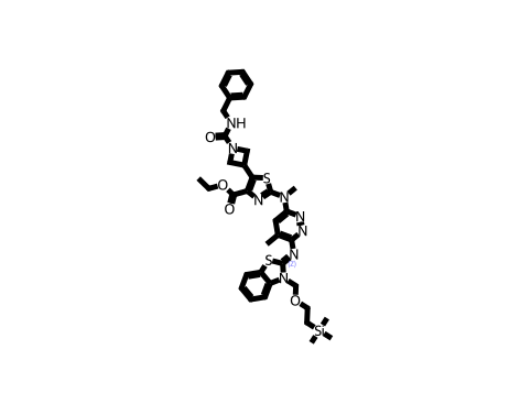 CCOC(=O)c1nc(N(C)c2cc(C)c(/N=c3\sc4ccccc4n3COCC[Si](C)(C)C)nn2)sc1C1CN(C(=O)NCc2ccccc2)C1